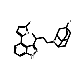 CC(CCN1C2CC3CC1CC(O)(C3)C2)c1n[nH]c2cccc(-c3ccc(F)o3)c12